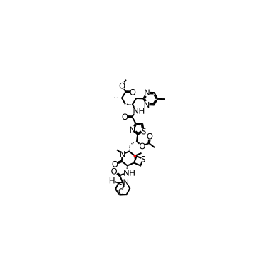 COC(=O)[C@@H](C)C[C@H](Cc1ncc(C)cn1)NC(=O)c1csc([C@@H](C[C@H](C(C)C)N(C)C(=O)[C@@H](NC(=O)[C@H]2CC3CCN2CC3)C2CSC2)OC(C)=O)n1